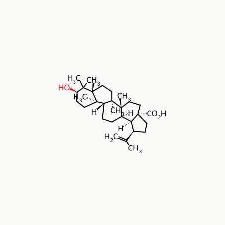 C=C(C)[C@@H]1CC[C@]2(C(=O)O)CC[C@]3(C)[C@H](CC[C@@H]4[C@@]5(C)CC[C@@H](O)C(C)(C)[C@@H]5CC[C@]43C)[C@H]12